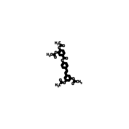 CC(=O)Oc1cc(/C=C/c2ccc(OC(=O)c3ccc(OC(C)=O)c(OC(C)=O)c3)cc2)cc(OC(C)=O)c1